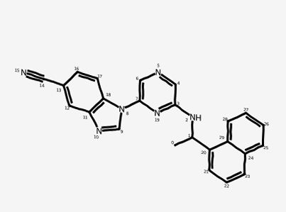 CC(Nc1cncc(-n2cnc3cc(C#N)ccc32)n1)c1cccc2ccccc12